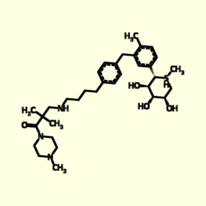 Cc1ccc([C@H]2[C@H](O)[C@H](O)[C@H](O)C[SH]2C)cc1Cc1ccc(CCCCNCC(C)(C)C(=O)N2CCN(C)CC2)cc1